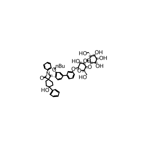 CCCCOc1cc(-c2cccc(O[C@@H]3O[C@H](CO)[C@@H](O[C@@H]4O[C@H](CO)[C@@H](O)[C@H](O)[C@H]4O)[C@H](O)[C@H]3O)c2)ccc1[C@H]1N(c2ccccc2)C(=O)C12CCC(O)(c1ccccc1)CC2